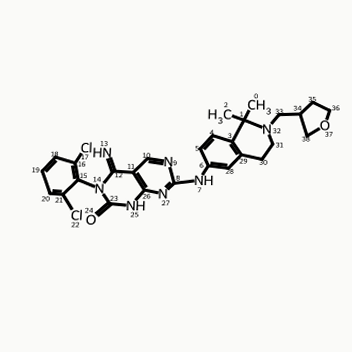 CC1(C)c2ccc(Nc3ncc4c(=N)n(-c5c(Cl)cccc5Cl)c(=O)[nH]c4n3)cc2CCN1CC1CCOC1